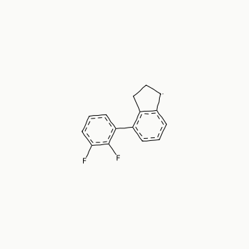 Fc1cccc(-c2cccc3c2CC[CH]3)c1F